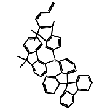 C=C/C=C\C1=C(C)c2ccc(N(c3cccc4c3C3=CC=CCC3C43c4ccccc4-c4ccccc43)c3cccc4c3-c3ccccc3C4(C)C)cc2C1(C)C